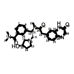 CN(C)C(=O)c1cccc([C@@H](CN2CC[C@H](O)C2)N(C)C(=O)Cc2ccc3ncc(=O)[nH]c3c2)c1